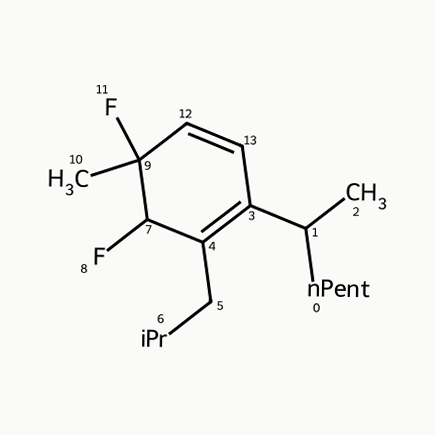 CCCCCC(C)C1=C(CC(C)C)C(F)C(C)(F)C=C1